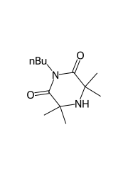 CCCCN1C(=O)C(C)(C)NC(C)(C)C1=O